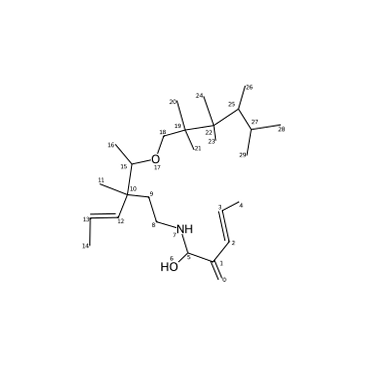 C=C(C=CC)C(O)NCCC(C)(C=CC)C(C)OCC(C)(C)C(C)(C)C(C)C(C)C